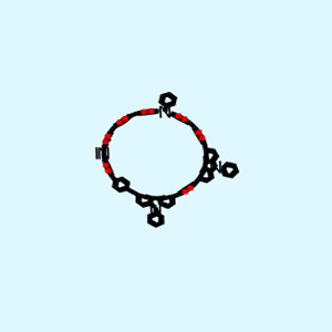 IN1c2ccc(cc2)-c2ccc(cc2)-c2ccc(cc2)N(c2ccccc2)c2ccc(cc2)-c2ccc(cc2)-c2ccc3c(c2)c2cc(ccc2n3-c2ccccc2)-c2ccc(cc2)-c2ccc3c(c2)c2cc(ccc2n3-c2ccccc2)-c2ccc(cc2)-c2ccc1cc2